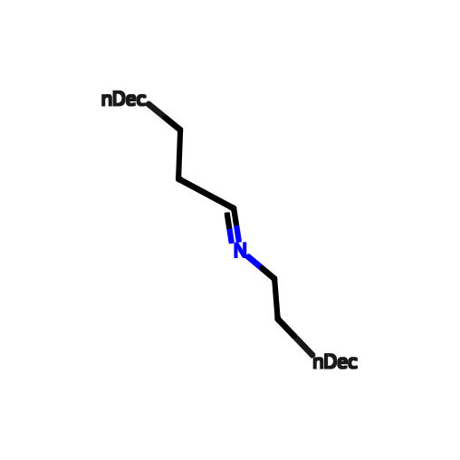 CCCCCCCCCCCCC=NCCCCCCCCCCCC